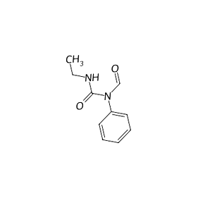 CCNC(=O)N(C=O)c1ccccc1